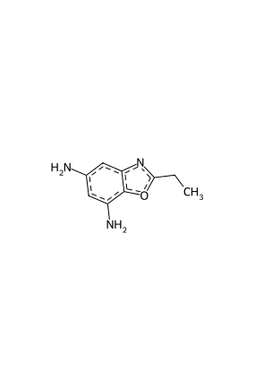 CCc1nc2cc(N)cc(N)c2o1